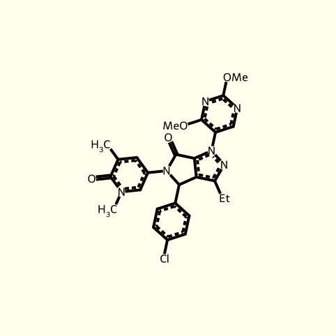 CCc1nn(-c2cnc(OC)nc2OC)c2c1C(c1ccc(Cl)cc1)N(c1cc(C)c(=O)n(C)c1)C2=O